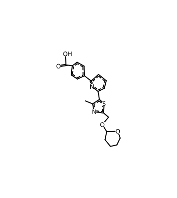 Cc1nc(COC2CCCCO2)sc1-c1cccc(-c2ccc(C(=O)O)cc2)n1